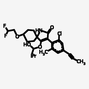 CC#Cc1cc(C)c(C2=C(OC(O)C(C)C)C3(CCC(OCC(F)F)CC3)NC2=O)c(Cl)c1